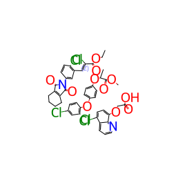 CCOC(=O)/C(Cl)=C/c1cc(N2C(=O)C3=C(CCCC3)C2=O)ccc1Cl.COC(=O)C(C)Oc1ccc(Oc2ccc(Cl)cc2Cl)cc1.O=C(O)COc1ccc(Cl)c2cccnc12